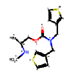 CCCC[C@@H](COC(=O)N(Cc1ccsc1)Cc1ccsc1)NC(=O)O